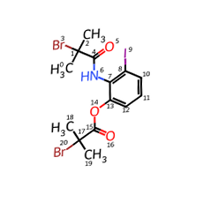 CC(C)(Br)C(=O)Nc1c(I)cccc1OC(=O)C(C)(C)Br